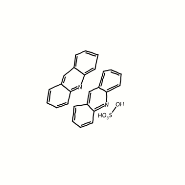 O=S(=O)(O)O.c1ccc2nc3ccccc3cc2c1.c1ccc2nc3ccccc3cc2c1